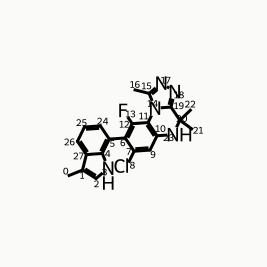 Cc1c[nH]c2c(-c3c(Cl)cc4c(c3F)-n3c(C)nnc3C(C)(C)N4)cccc12